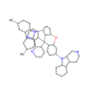 N#Cc1ccc2c(c1)c1cc(C#N)ccc1n2-c1cccc2c1C1(c3ccc(-n4c5ccccc5c5ccncc54)cc3O2)c2cccnc2-c2ncccc21